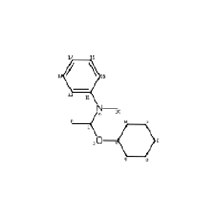 CC(OC1CCCCC1)N(C)c1ccccc1